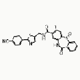 Cc1cc2c(cc1C(=O)NCc1cnc(-c3ccc(C#N)cc3)s1)NC(=O)c1ccccc1[S+]2[O-]